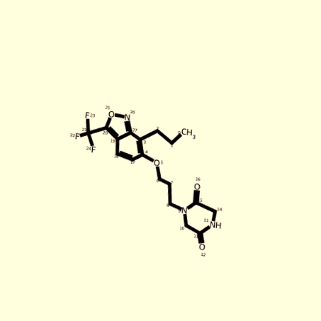 CCCc1c(OCCCN2CC(=O)NCC2=O)ccc2c(C(F)(F)F)onc12